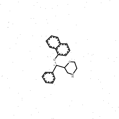 c1ccc([C@H](Oc2cccc3ccccc23)C2CNCCO2)cc1